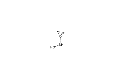 ONC1=C=C1